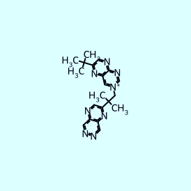 CC(C)(C)c1cnc2nc[n+](CC(C)(C)c3cnc4cnncc4n3)cc2n1